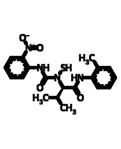 Cc1ccccc1NC(=O)[C@@H](C(C)C)N(S)C(=O)Nc1ccccc1[N+](=O)[O-]